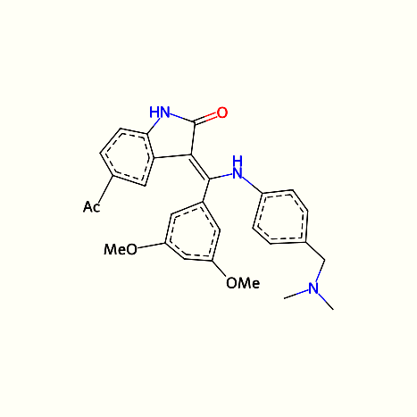 COc1cc(OC)cc(/C(Nc2ccc(CN(C)C)cc2)=C2/C(=O)Nc3ccc(C(C)=O)cc32)c1